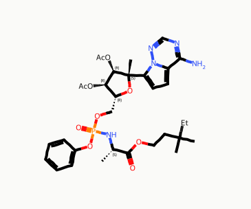 CCC(C)(C)CCOC(=O)[C@H](C)NP(=O)(OC[C@H]1O[C@@](C)(c2ccc3c(N)ncnn23)[C@H](OC(C)=O)[C@@H]1OC(C)=O)Oc1ccccc1